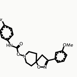 COc1cccc(C2=NOC3(CCN(OC(=O)Nc4ccc(Br)cc4)CC3)C2)c1